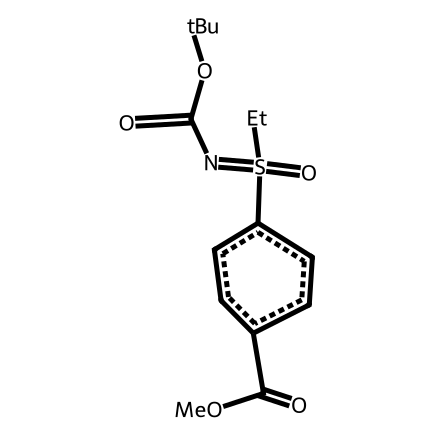 CCS(=O)(=NC(=O)OC(C)(C)C)c1ccc(C(=O)OC)cc1